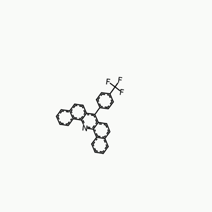 FC(F)(F)c1ccc(-c2c3ccc4ccccc4c3nc3c2ccc2ccccc23)cc1